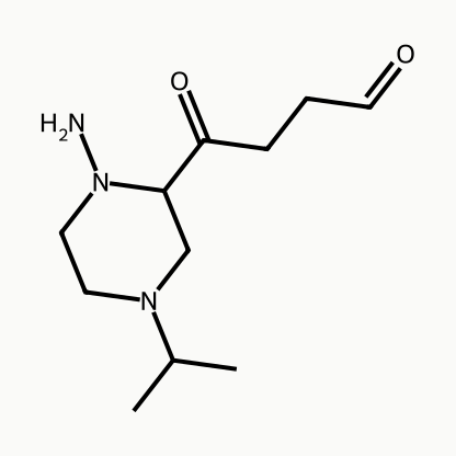 CC(C)N1CCN(N)C(C(=O)CCC=O)C1